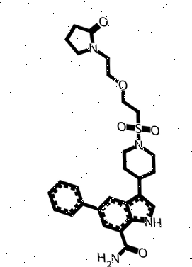 NC(=O)c1cc(-c2ccccc2)cc2c(C3CCN(S(=O)(=O)CCOCCN4CCCC4=O)CC3)c[nH]c12